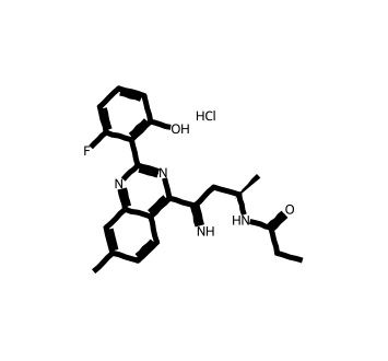 CCC(=O)N[C@H](C)CC(=N)c1nc(-c2c(O)cccc2F)nc2cc(C)ccc12.Cl